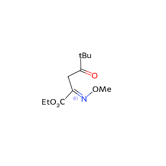 CCOC(=O)/C(CC(=O)C(C)(C)C)=N/OC